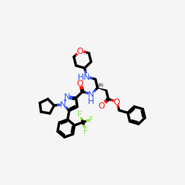 O=C(C[C@H](CNC1CCOCC1)NC(=O)c1cc(-c2ccccc2C(F)(F)F)n(C2CCCC2)n1)OCc1ccccc1